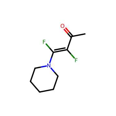 CC(=O)C(F)=C(F)N1CCCCC1